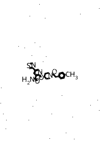 Cc1ccc(CC(=O)N2CCC(Oc3ncc(-c4cscn4)cc3C(N)=O)CC2)cc1